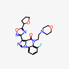 O=c1c2c(-c3noc(C4CCCO4)n3)ncn2c2cccc(F)c2n1CCN1CCOCC1